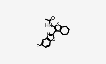 CC(=O)Nc1sc2c(c1-c1nc3cc(F)ccc3s1)CCCC2